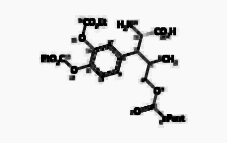 CCCCCC(=O)OCC(C)C(c1ccc(OC(=O)OCC)c(OC(=O)OCC)c1)[C@H](N)C(=O)O